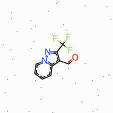 O=Cc1c(C(F)(F)F)nn2ccccc12